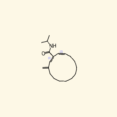 C=C1/C=C(C(=O)NC(C)C)\C=C/CCCCCCCCC1